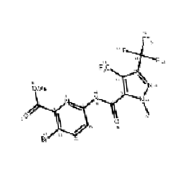 COC(=O)c1nc(NC(=O)c2c(C(F)(F)F)c(C(F)(F)C(F)(F)F)nn2C)ccc1Br